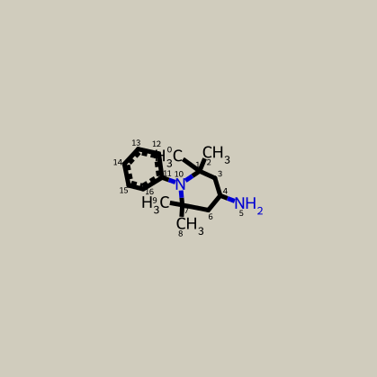 CC1(C)CC(N)CC(C)(C)N1c1ccccc1